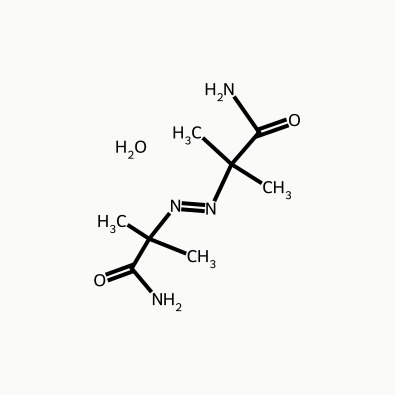 CC(C)(N=NC(C)(C)C(N)=O)C(N)=O.O